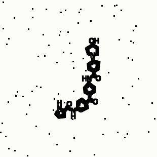 O=C(Nc1ccc(C(=O)c2ccc(NC(=O)c3ccc[nH]3)cc2)cc1)c1ccc(N2CCC(O)CC2)cc1